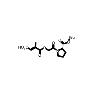 C/C(=C\C(=O)O)C(=O)OCC(=O)N1CCC[C@H]1C(=O)OC(C)(C)C